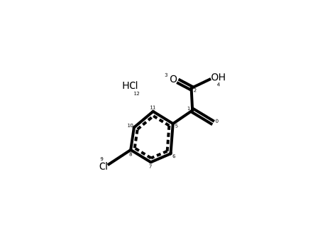 C=C(C(=O)O)c1ccc(Cl)cc1.Cl